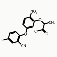 CC(Oc1cc(Oc2ccc(F)cc2C#N)ccc1[N+](=O)[O-])C(=O)Cl